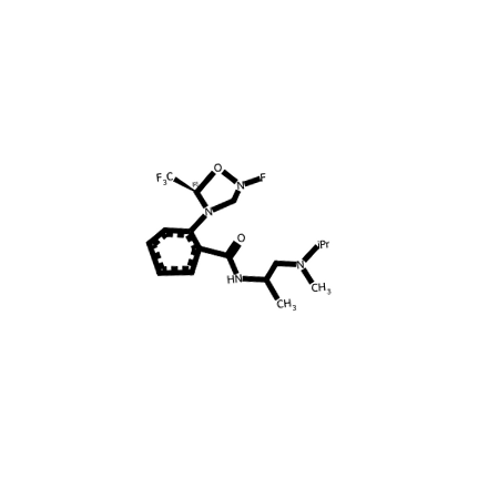 CC(CN(C)C(C)C)NC(=O)c1ccccc1N1CN(F)O[C@@H]1C(F)(F)F